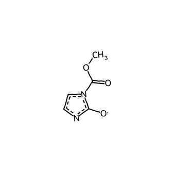 COC(=O)n1ccnc1[O]